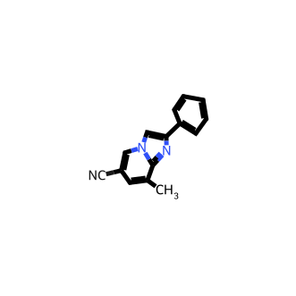 Cc1cc(C#N)cn2cc(-c3ccccc3)nc12